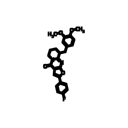 COc1ccc(CC2CCCn3c2nc2oc(-c4ccc(F)cc4)cc2c3=O)cc1OC